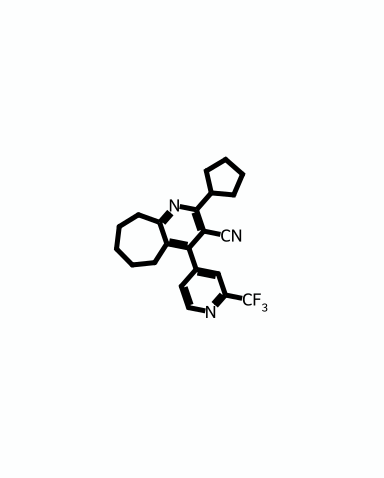 N#Cc1c(C2CCCC2)nc2c(c1-c1ccnc(C(F)(F)F)c1)CCCCC2